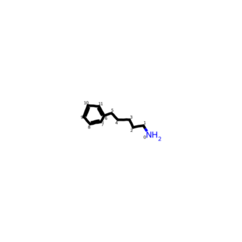 NCCCCCc1[c]cccc1